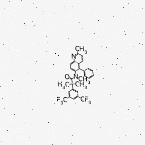 Cc1ccc2c(-c3ccccc3)c(N(C)C(=O)C(C)(C)c3cc(C(F)(F)F)cc(C(F)(F)F)c3)ccc2n1